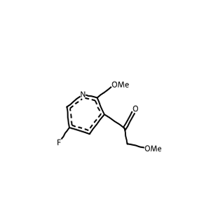 COCC(=O)c1cc(F)cnc1OC